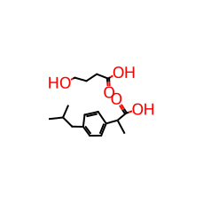 CC(C)Cc1ccc(C(C)C(=O)O)cc1.O=C(O)CCCO